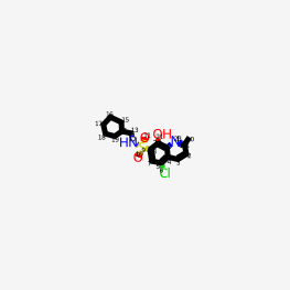 Cc1ccc2c(Cl)cc(S(=O)(=O)NCC3CCCCC3)c(O)c2n1